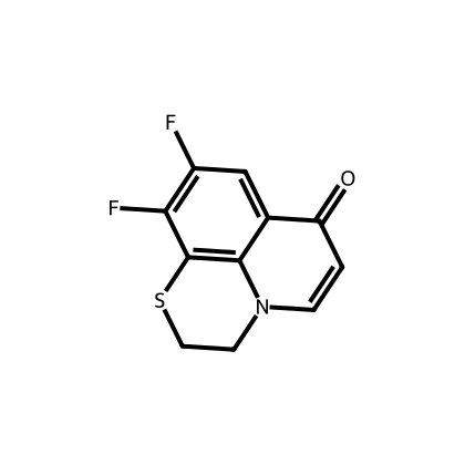 O=c1ccn2c3c(c(F)c(F)cc13)SCC2